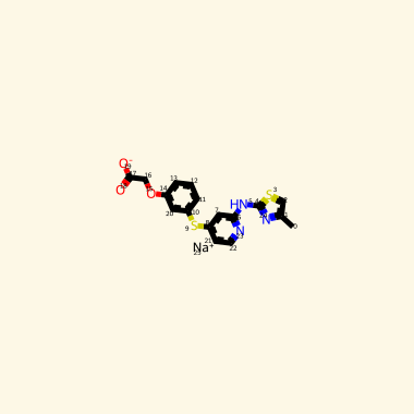 Cc1csc(Nc2cc(Sc3cccc(OCC(=O)[O-])c3)ccn2)n1.[Na+]